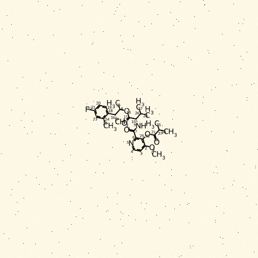 COc1ccnc(C(=O)N[C@H](C(=O)O[C@H](C)[C@H](C)c2ccc(F)cc2C)C(C)C)c1OC(=O)C(C)C